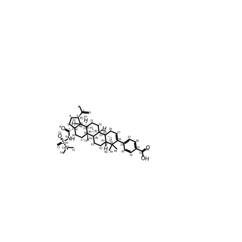 C=C(C)[C@@H]1CC[C@]2(C(=O)NS(=C)(=O)N(C)C)CC[C@]3(C)[C@H](CC[C@@H]4[C@@]5(C)CC=C(c6ccc(C(=O)O)cc6)C(C)(C)[C@@H]5CC[C@]43C)[C@@H]12